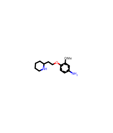 COc1cc(N)ccc1OCCC1CCCCN1